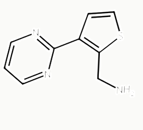 NCc1sccc1-c1ncccn1